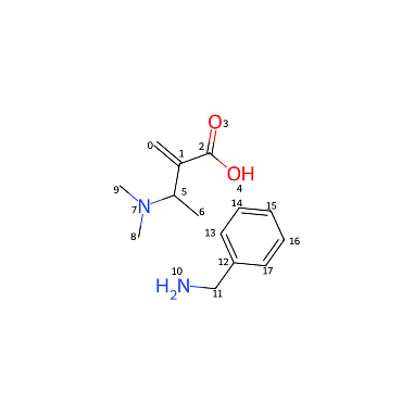 C=C(C(=O)O)C(C)N(C)C.NCc1ccccc1